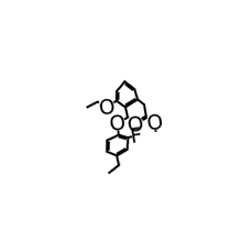 CCOc1cccc(CC(=O)OC)c1COc1ccc(CC)cc1F